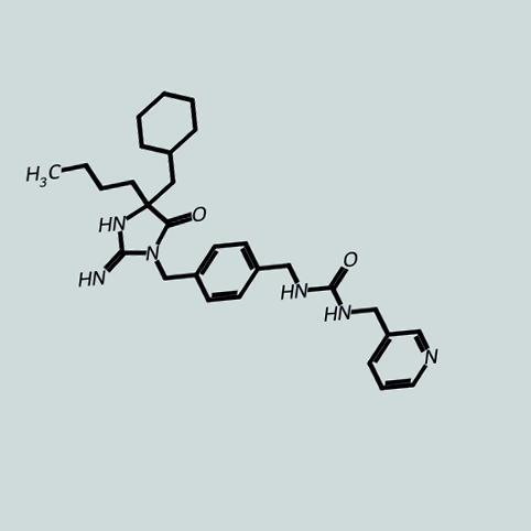 CCCCC1(CC2CCCCC2)NC(=N)N(Cc2ccc(CNC(=O)NCc3cccnc3)cc2)C1=O